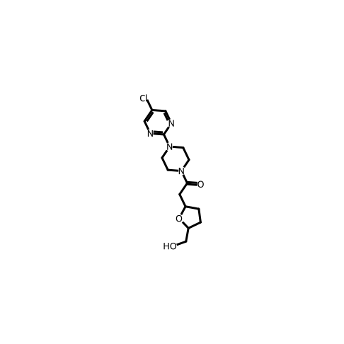 O=C(CC1CCC(CO)O1)N1CCN(c2ncc(Cl)cn2)CC1